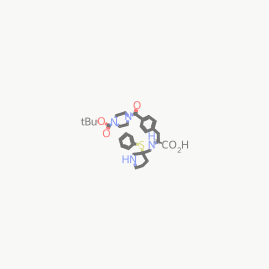 CC(C)(C)OC(=O)N1CCN(C(=O)c2ccc(C[C@H](NCC3(Sc4ccccc4)CCCNC3)C(=O)O)cc2)CC1